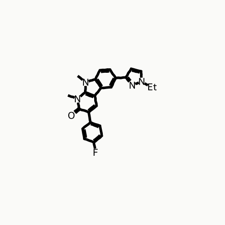 CCn1ccc(-c2ccc3c(c2)c2cc(-c4ccc(F)cc4)c(=O)n(C)c2n3C)n1